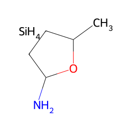 CC1CCC(N)O1.[SiH4]